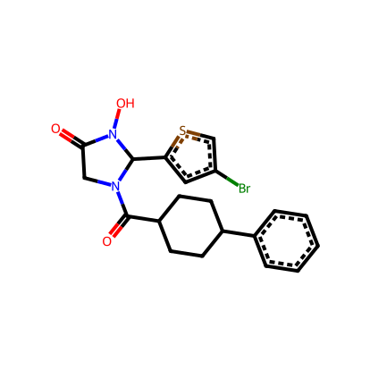 O=C1CN(C(=O)C2CCC(c3ccccc3)CC2)C(c2cc(Br)cs2)N1O